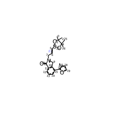 CC1(C)OB(/C=C/CN2Cc3c(cccc3-c3ncco3)C2=O)OC1(C)C